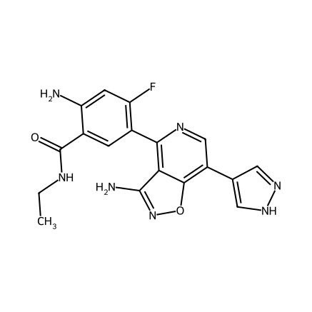 CCNC(=O)c1cc(-c2ncc(-c3cn[nH]c3)c3onc(N)c23)c(F)cc1N